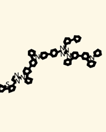 c1ccc(-c2cccc(-c3nc(-c4ccc(-c5ccc(-n6c7ccccc7c7cc(-c8ccc9c(c8)c8ccccc8n9-c8nccc(-c9cccc%10c9sc9ccccc9%10)n8)ccc76)cc5)cc4)nc(-n4c5ccccc5c5cc(-c6ccc7c(c6)c6ccccc6n7-c6ccccc6)ccc54)n3)c2)cc1